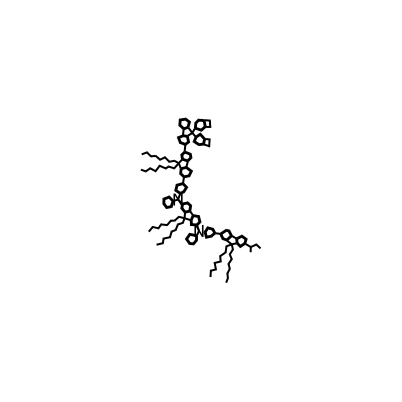 CCCCCCCCC1(CCCCCCCC)c2cc(-c3ccc(N(c4ccccc4)c4ccc5c(c4)C(CCCCCCCC)(CCCCCCCC)c4cc(N(c6ccccc6)c6ccc(-c7ccc8c(c7)C(CCCCCCCC)(CCCCCCCC)c7cc(C(C)CC)ccc7-8)cc6)ccc4-5)cc3)ccc2-c2ccc(-c3ccc4c(c3)C(c3ccc5c(c3)CC5)(c3ccc5c(c3)CC5)c3ccccc3-4)cc21